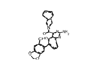 Nc1nc(C(=O)n2cc3ccccc3c2)c2cc(-c3cc4c(cc3C=O)OCO4)ccc2n1